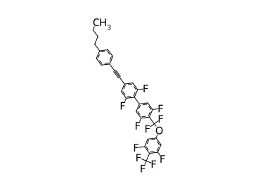 CCCCc1ccc(C#Cc2cc(F)c(-c3cc(F)c(C(F)(F)Oc4cc(F)c(C(F)(F)F)c(F)c4)c(F)c3)c(F)c2)cc1